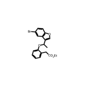 CCOC(=O)Cc1ccccc1OC(C)c1coc2ccc(Br)cc12